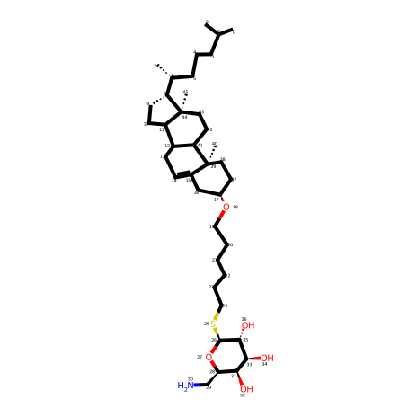 CC(C)CCC[C@@H](C)[C@H]1CCC2C3CC=C4C[C@@H](OCCCCCCS[C@@H]5O[C@H](CN)[C@H](O)[C@H](O)[C@H]5O)CC[C@]4(C)C3CC[C@@]21C